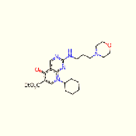 CCOC(=O)c1cn(C2CCCCC2)c2nc(NCCCN3CCOCC3)ncc2c1=O